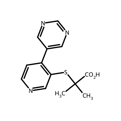 CC(C)(Sc1cnccc1-c1cncnc1)C(=O)O